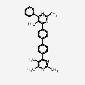 Cc1nc(C)c(C)c(-c2ccc(-c3ccc(-c4nc(C)nc(-c5ccccc5)c4C)cc3)cc2)n1